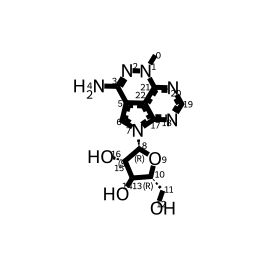 CN1N=C(N)c2cn([C@@H]3O[C@H](CO)C(O)[C@@H]3O)c3ncnc1c23